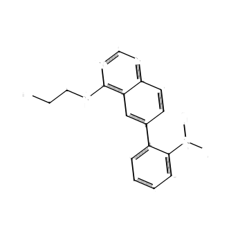 CC(C)CCNc1ncnc2ccc(-c3ccccc3N(C)C)cc12